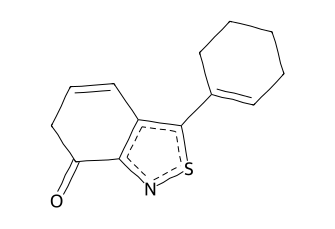 O=C1CC=Cc2c1nsc2C1=CCCCC1